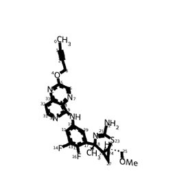 CC#CCOc1cnc2c(Nc3cc(F)c(F)c([C@]4(C)N=C(N)S[C@@]5(COC)C[C@H]54)c3)nccc2n1